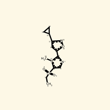 CCS(=O)(=O)c1cnc(-c2cc(C3CC3)no2)n1C